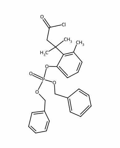 Cc1cccc(OP(=O)(OCc2ccccc2)OCc2ccccc2)c1C(C)(C)CC(=O)Cl